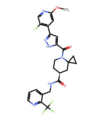 COc1cc(-c2cc(C(=O)N3CC[C@H](C(=O)NCc4cccnc4C(F)(F)F)CC34CC4)[nH]n2)c(F)cn1